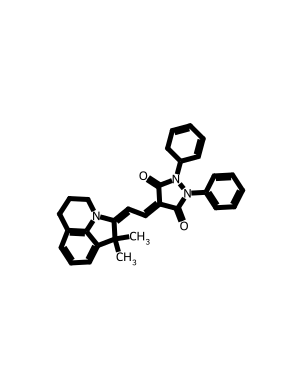 CC1(C)/C(=C\C=C2\C(=O)N(c3ccccc3)N(C3C=CC=CC3)C2=O)N2CCCc3cccc1c32